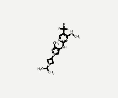 CNc1nc(Nc2cn(C3CN(C(C)C)C3)nc2C)ncc1C(F)(F)F